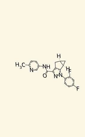 Cc1ccc(NC(=O)c2nn(-c3ccc(F)cc3F)c3c2C[C@H]2C[C@@H]32)cn1